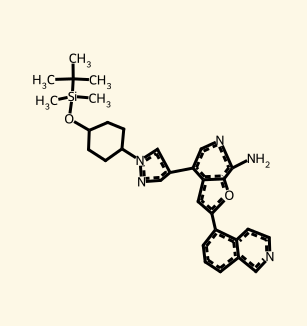 CC(C)(C)[Si](C)(C)OC1CCC(n2cc(-c3cnc(N)c4oc(-c5cccc6cnccc56)cc34)cn2)CC1